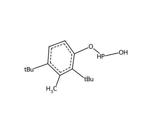 Cc1c(C(C)(C)C)ccc(OPO)c1C(C)(C)C